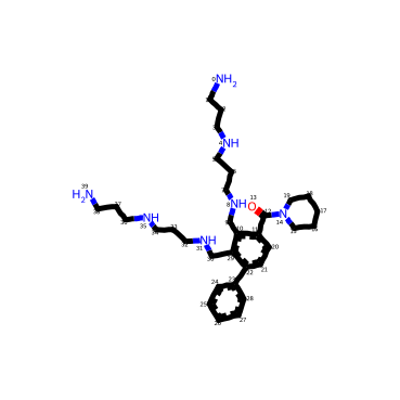 NCCCNCCCNCc1c(C(=O)N2CCCCC2)ccc(-c2ccccc2)c1CNCCCNCCCN